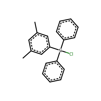 Cc1cc(C)cc([Si](Cl)(c2ccccc2)c2ccccc2)c1